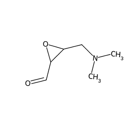 CN(C)CC1OC1C=O